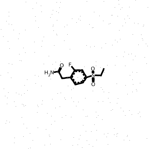 CCS(=O)(=O)c1ccc(CC(N)=O)c(F)c1